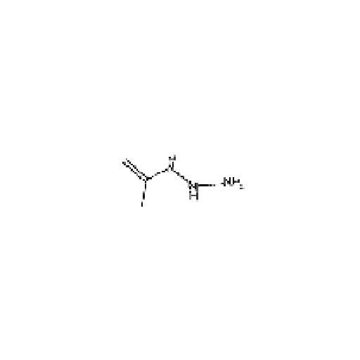 C=C(C)NNN